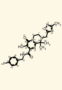 Cc1noc(CN2CCn3c(nc(C(=O)NCc4ccc(F)cc4)c(O)c3=O)C2(C)C)n1